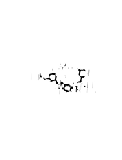 CCN(C)Cc1cc(C(F)(F)F)cc(NC(=O)c2ccc(Cl)c(N(N)/C=C(\N)c3cncc(OC)c3)c2)c1OC